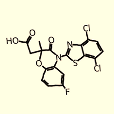 CC1(CC(=O)O)Oc2ccc(F)cc2N(c2nc3c(Cl)ccc(Cl)c3s2)C1=O